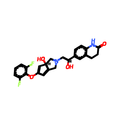 O=C1CCc2cc([C@@H](O)CN3CC4=CC(Oc5c(F)cccc5F)=C[C@]4(O)C3)ccc2N1